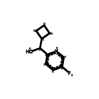 OC(c1ccc(F)cn1)C1CCC1